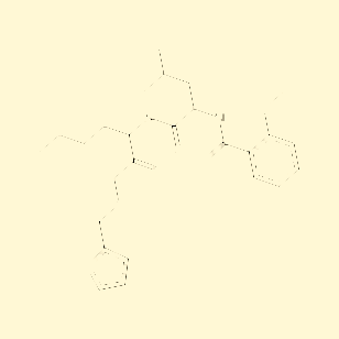 CCCCC(NC(=O)C(CC(C)C)NC(=O)c1ccccc1OC)C(=O)CSCc1ccco1